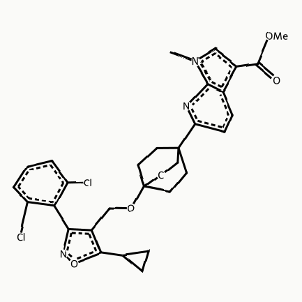 COC(=O)c1cn(C)c2nc(C34CCC(OCc5c(-c6c(Cl)cccc6Cl)noc5C5CC5)(CC3)CC4)ccc12